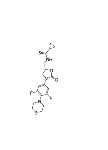 O=C1O[C@@H](CNC(=S)C2CC2)CN1c1cc(F)c(N2CCSCC2)c(F)c1